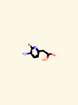 CC(=O)c1nc(CC(O)O)ccc1N